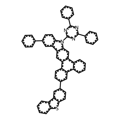 c1ccc(-c2ccc3c(c2)c2cc4c5ccc(-c6ccc7sc8ccccc8c7c6)cc5c5ccccc5c4cc2n3-c2nc(-c3ccccc3)nc(-c3ccccc3)n2)cc1